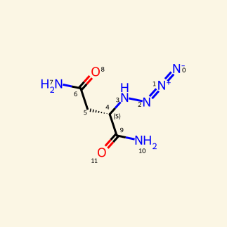 [N-]=[N+]=NN[C@@H](CC(N)=O)C(N)=O